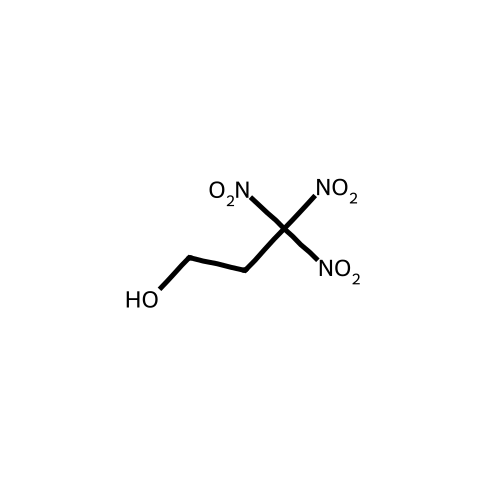 O=[N+]([O-])C(CCO)([N+](=O)[O-])[N+](=O)[O-]